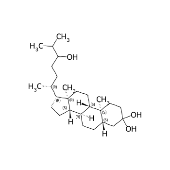 CC(C)C(O)CC[C@@H](C)[C@H]1CC[C@H]2[C@@H]3CC[C@H]4CC(O)(O)CC[C@]4(C)[C@H]3CC[C@]12C